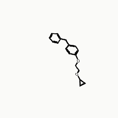 c1ccc(Cc2ccc(OCCOC3CC3)cc2)cc1